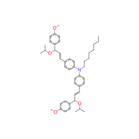 CCCCCCCCN(c1ccc(C=CC(OC(C)C)c2ccc(OC)cc2)cc1)c1ccc(C=CC(OC(C)C)c2ccc(OC)cc2)cc1